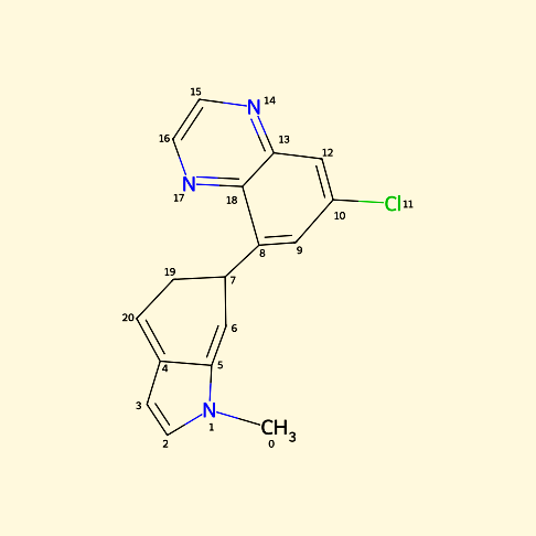 Cn1ccc2c1=CC(c1cc(Cl)cc3nccnc13)CC=2